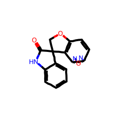 O=C1Nc2ccccc2C12COc1ccc3nonc3c12